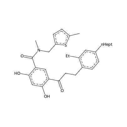 CCCCCCCc1ccc(CCC(=O)c2cc(C(=O)N(C)Cc3ccc(C)s3)c(O)cc2O)c(CC)c1